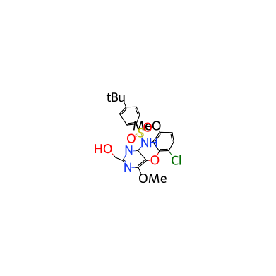 COc1ccc(Cl)c(Oc2c(NS(=O)(=O)c3ccc(C(C)(C)C)cc3)nc(CO)nc2OC)c1